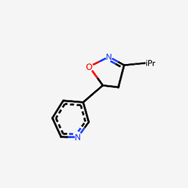 CC(C)C1=NOC(c2cccnc2)C1